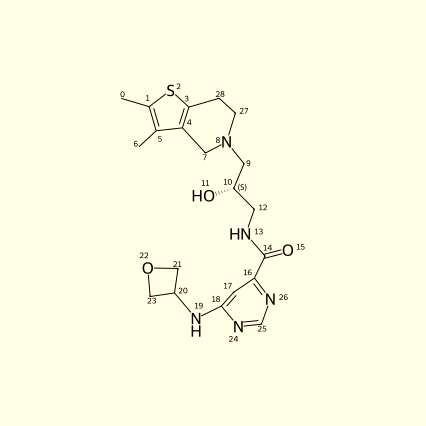 Cc1sc2c(c1C)CN(C[C@@H](O)CNC(=O)c1cc(NC3COC3)ncn1)CC2